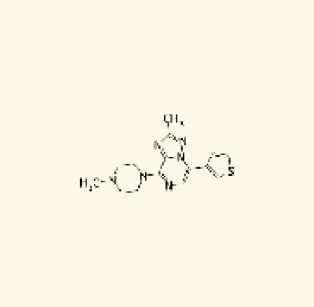 Cc1nc2c(N3CCN(C)CC3)ncc(-c3ccsc3)n2n1